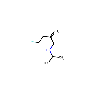 C=C(CCF)CNC(C)C